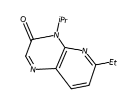 CCc1ccc2ncc(=O)n(C(C)C)c2n1